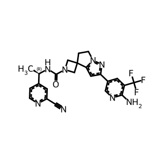 C[C@@H](NC(=O)N1CC2(CCn3nc(-c4cnc(N)c(C(F)(F)F)c4)cc32)C1)c1ccnc(C#N)c1